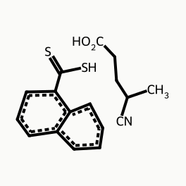 CC(C#N)CCC(=O)O.S=C(S)c1cccc2ccccc12